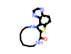 O=C1NCCCCCCCNc2c1sc1ccc3nccnc3c21